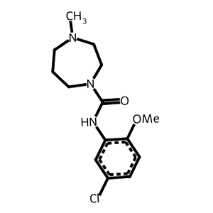 COc1ccc(Cl)cc1NC(=O)N1CCCN(C)CC1